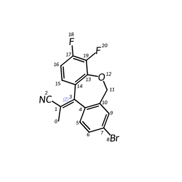 C/C(C#N)=C1\c2ccc(Br)cc2COc2c1ccc(F)c2F